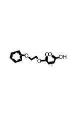 O=C(O)/C=C\C(=O)OCCOc1ccccc1